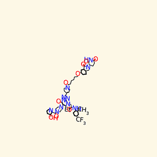 CCc1c(N2CCN(C(=O)c3ncccc3O)CC2)c(=O)n2nc(C3=CCN(C(=O)CCCCCOc4ccc5c(c4)C(=O)N(C4CCC(=O)NC4=O)C5)CC3)nc2n1CC(=O)Nc1ccc(C(F)(F)F)cc1C